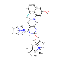 Oc1cc(N2CCc3c(nc(OCC45CCCN4[C@H]4CCC[C@@]4(F)C5)nc3N3CC4CCC(C3)N4)C2)c2c(F)cccc2c1